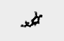 CC(C)c1ccc(CC(O)C(C)C)cc1Cl